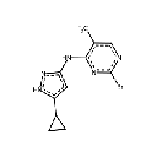 FC(F)(F)c1cnc(Br)nc1Nc1cc(C2CC2)[nH]n1